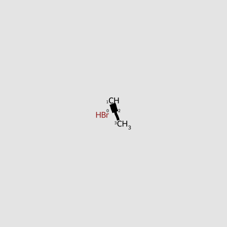 Br.C#CC